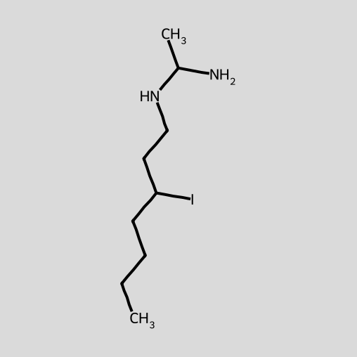 CCCCC(I)CCNC(C)N